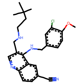 COc1ccc(CNc2c(CNCCC(C)(C)C)cnc3ccc(C#N)cc23)cc1Cl